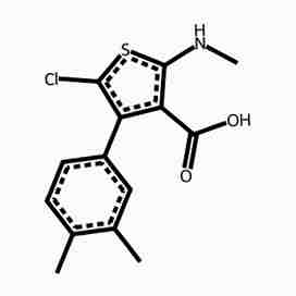 CNc1sc(Cl)c(-c2ccc(C)c(C)c2)c1C(=O)O